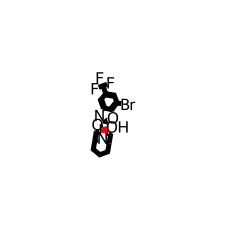 O=C(O)N1C2CCCC1CN(c1nc3cc(C(F)(F)F)cc(Br)c3o1)C2